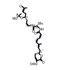 COC1=CC[C@@H]([C@@H](C)/C=C(C)/C=C\C=C/C(=O)N[C@H](C(=O)N/C=C\C[C@H](C/C=C(\C)Cl)O[Si](C)(C)C(C)(C)C)C(C)(C)C)OC1=O